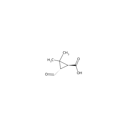 CC1(C)[C@@H](C=O)[C@@H]1C(=O)O